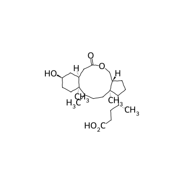 CC1CC[C@]2(C)C([C@H](C)CCC(=O)O)CC[C@H]2COC(=O)C[C@@H]2C[C@H](O)CC[C@]12C